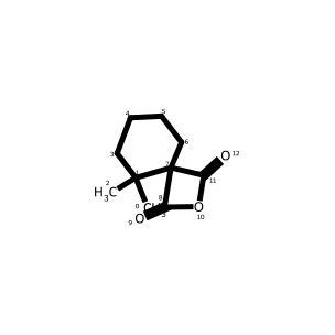 CC1(C)CCCCC12C(=O)OC2=O